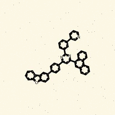 c1cncc(-c2cccc(-c3nc(-c4ccc(-c5ccc6oc7ccccc7c6c5)cc4)cc(-c4cc5ccccc5c5ccccc45)n3)c2)c1